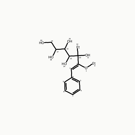 CCOC(=Cc1ccccc1)C(O)(CC)C(O)C(O)C(O)CO